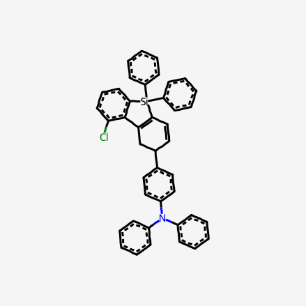 Clc1cccc2c1C1=C(C=CC(c3ccc(N(c4ccccc4)c4ccccc4)cc3)C1)[Si]2(c1ccccc1)c1ccccc1